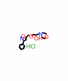 Cl.OC(COCc1cc(-c2ccccc2)no1)CN1CCOCC1